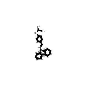 FC(F)Oc1ccc(/C=N/n2c3ccccc3c3ccccc32)cc1